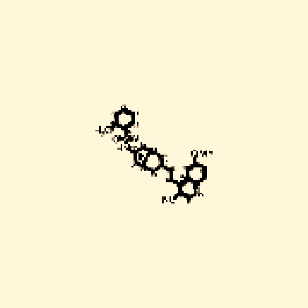 COc1ccc2ncc(C#N)c(CCC3CC4CC(NS(=O)(=O)c5ccccc5C)CC(C3)N4)c2c1